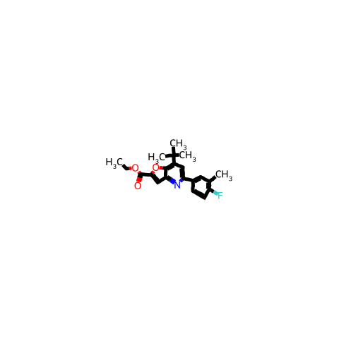 CCOC(=O)c1cc2nc(-c3ccc(F)c(C)c3)cc(C(C)(C)C)c2o1